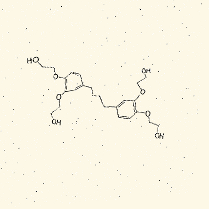 OCCOc1ccc(CCCCc2ccc(OCCO)c(OCCO)c2)cc1OCCO